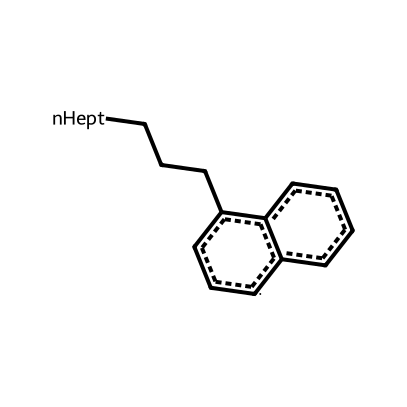 CCCCCCCCCCc1cc[c]c2ccccc12